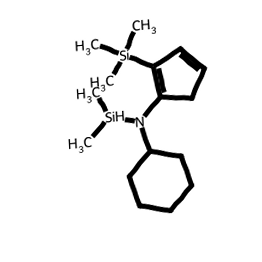 C[SiH](C)N(C1=C([Si](C)(C)C)C=CC1)C1CCCCC1